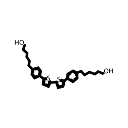 OCCCCCCc1ccc(-c2ccc(-c3ccc(-c4ccc(CCCCCCO)cc4)s3)s2)cc1